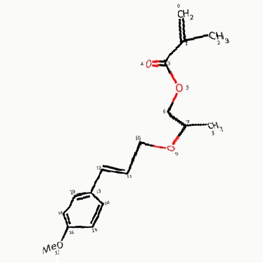 C=C(C)C(=O)OCC(C)OCC=Cc1ccc(OC)cc1